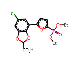 CCOP(=O)(OCC)c1ccc(-c2cc(Cl)cc3c2OC(C(=O)O)O3)o1